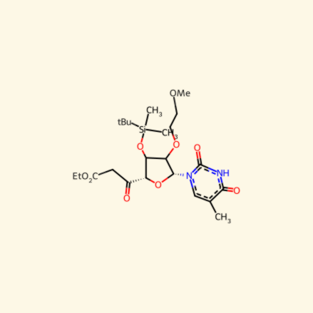 CCOC(=O)CC(=O)[C@H]1O[C@@H](n2cc(C)c(=O)[nH]c2=O)C(OCCOC)C1O[Si](C)(C)C(C)(C)C